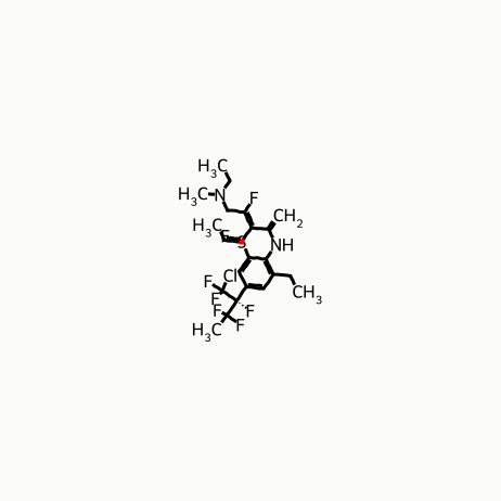 C=C(Nc1c(CC)cc([C@@](F)(C(C)(F)F)C(F)(F)Cl)cc1SF)C(/C=C\C)=C(\F)CN(C)CC